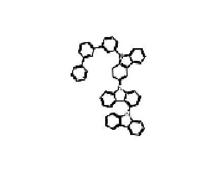 C1=C(n2c3ccccc3c3c(-n4c5ccccc5c5ccccc54)cccc32)CCc2c1c1ccccc1n2-c1cccc(-c2cccc(-c3ccccc3)c2)c1